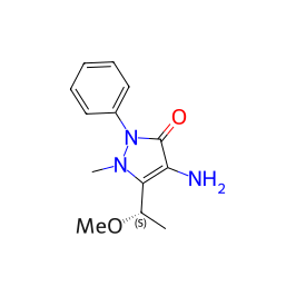 CO[C@@H](C)c1c(N)c(=O)n(-c2ccccc2)n1C